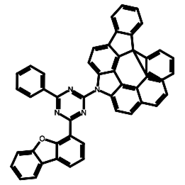 c1ccc(-c2nc(-c3cccc4c3oc3ccccc34)nc(-n3c4ccc5c6c4c4c7c(cccc7ccc43)C6(c3ccccc3)c3ccccc3-5)n2)cc1